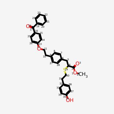 COC(=O)C(Cc1ccc(CCOc2ccc(C(=O)c3ccccc3)cc2)cc1)SCCc1ccc(O)cc1